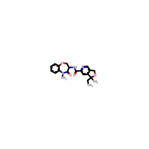 CCC1(C)OCc2cnc(C(=O)NC3COc4ccccc4N(C)C3=O)cc21